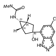 CNC(=O)N[C@@H]1[C@@H]2C[C@@](O)(c3cc(Cl)cc4cn[nH]c34)C[C@@H]21